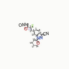 COC(=O)/C(F)=C/c1ccc2c(C#N)nn(C3CCCCO3)c2c1